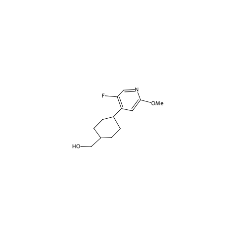 COc1cc(C2CCC(CO)CC2)c(F)cn1